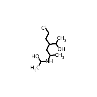 CC(O)NC(C)CC(CCCl)C(C)O